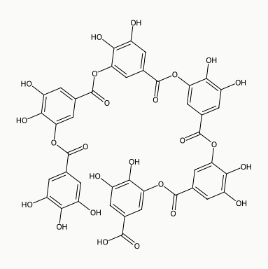 O=C(O)c1cc(O)c(O)c(OC(=O)c2cc(O)c(O)c(OC(=O)c3cc(O)c(O)c(OC(=O)c4cc(O)c(O)c(OC(=O)c5cc(O)c(O)c(OC(=O)c6cc(O)c(O)c(O)c6)c5)c4)c3)c2)c1